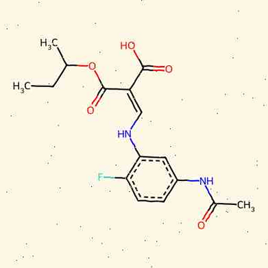 CCC(C)OC(=O)C(=CNc1cc(NC(C)=O)ccc1F)C(=O)O